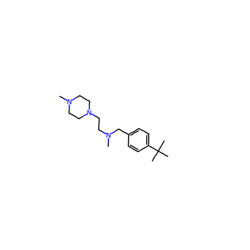 CN1CCN(CCN(C)Cc2ccc(C(C)(C)C)cc2)CC1